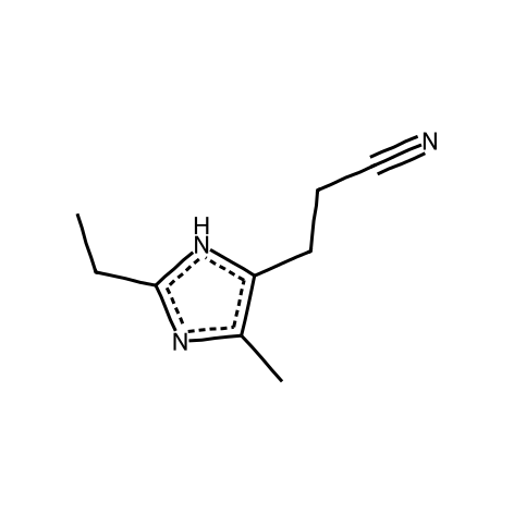 CCc1nc(C)c(CCC#N)[nH]1